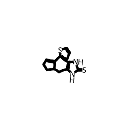 S=c1[nH]cc(CC2CCC=C2c2cccs2)[nH]1